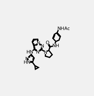 CC(=O)NC1=CCC(NC(=O)C2CCCN2c2nc(Nc3cc(C4CC4)[nH]n3)c3cccn3n2)C=C1